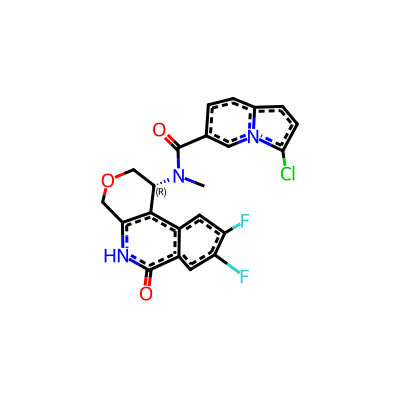 CN(C(=O)c1ccc2ccc(Cl)n2c1)[C@H]1COCc2[nH]c(=O)c3cc(F)c(F)cc3c21